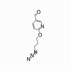 [N-]=[N+]=NCCCOc1ccc(C=O)cn1